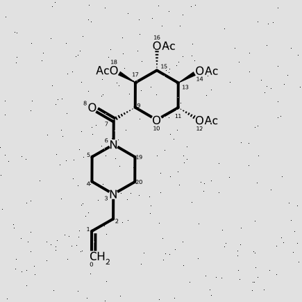 C=CCN1CCN(C(=O)[C@H]2O[C@@H](OC(C)=O)[C@H](OC(C)=O)[C@@H](OC(C)=O)[C@@H]2OC(C)=O)CC1